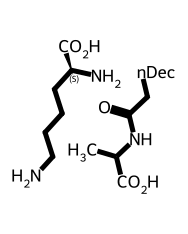 CCCCCCCCCCCC(=O)NC(C)C(=O)O.NCCCC[C@H](N)C(=O)O